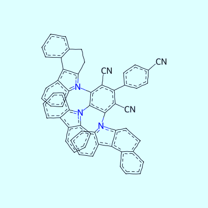 N#Cc1ccc(-c2c(C#N)c(-n3c4c(c5ccccc53)-c3ccccc3CC4)c(-n3c4ccccc4c4ccccc43)c(-n3c4ccccc4c4c5ccccc5ccc43)c2C#N)cc1